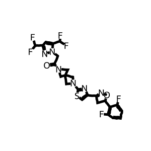 O=C(Cn1nc(C(F)F)cc1C(F)F)N1CC2(C1)CN(c1nc(C3=NOC(c4c(F)cccc4F)C3)cs1)C2